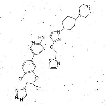 C[C@@H](Cn1cnnn1)Oc1cc(-c2cnc(Nc3cn(C4CCC(N5CCOCC5)CC4)nc3OCc3nccs3)nc2)ccc1Cl